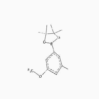 Cc1cc(OC(F)(F)F)cc(B2OC(C)(C)C(C)(C)O2)c1